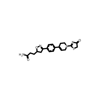 NC(=O)CCC1CC(c2ccc(C3=CCN(C4=NC(=O)CS4)CC3)cc2)=NO1